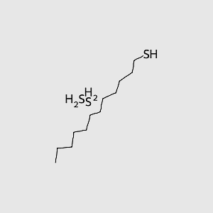 CCCCCCCCCCCCS.S.S